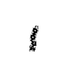 Cc1nnc(-c2ccnc(Cc3ccc(C(C)(C)c4ccc(Cl)cc4)cc3)c2)o1